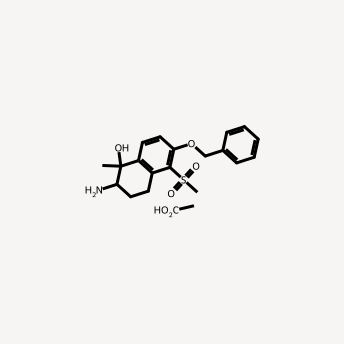 CC(=O)O.CC1(O)c2ccc(OCc3ccccc3)c(S(C)(=O)=O)c2CCC1N